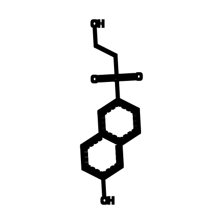 O=S(=O)(CCO)c1ccc2cc(O)ccc2c1